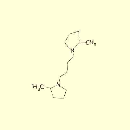 CC1CCCN1CCCCN1CCCC1C